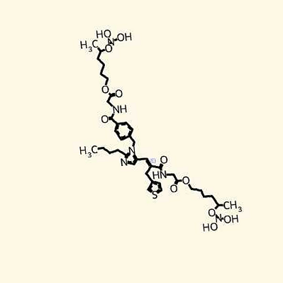 CCCCc1ncc(/C=C(\Cc2ccsc2)C(=O)NCC(=O)OCCCCC(C)ON(O)O)n1Cc1ccc(C(=O)NCC(=O)OCCCCC(C)ON(O)O)cc1